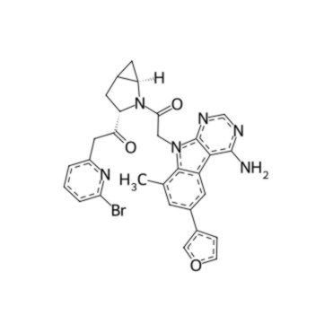 Cc1cc(-c2ccoc2)cc2c3c(N)ncnc3n(CC(=O)N3[C@@H]4CC4C[C@H]3C(=O)Cc3cccc(Br)n3)c12